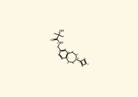 CC(C)(O)C(=O)NCc1ccc2c(c1)CCN(C1=CC=C1)CC2